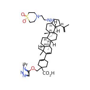 C=C(C)[C@@H]1CC[C@]2(NCCN3CCS(=O)(=O)CC3)CC[C@]3(C)[C@H](CC[C@@H]4[C@@]5(C)CC=C(C6=CCC(COc7cnnn7C(C)C)(C(=O)O)CC6)C(C)(C)[C@@H]5CC[C@]43C)[C@@H]12